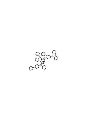 c1ccc(-c2ccc(-n3c4ccccc4c4cc(-n5c6ccc(-n7c8ccccc8c8ccccc87)cc6c6cccc([Si](c7ccccc7)(c7ccccc7)c7ccccc7)c65)ccc43)cc2)cc1